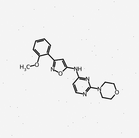 COc1ccccc1-c1cc(Nc2ccnc(N3CCOCC3)n2)on1